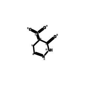 O=C1NN=CCC1=S(=O)=O